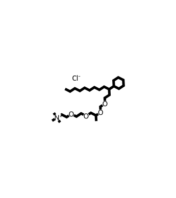 CCCCCCCCCC(CCOCOC(C)COCCOCC[N+](C)(C)C)C1CCCCC1.[Cl-]